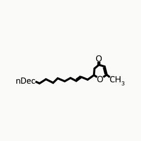 CCCCCCCCCCCCCCCCC=CCC1CC(=O)C=C(C)O1